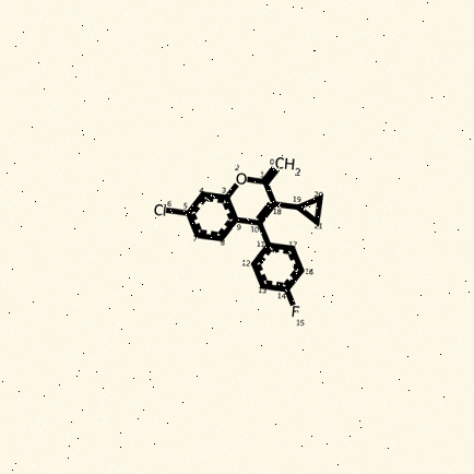 C=C1Oc2cc(Cl)ccc2C(c2ccc(F)cc2)=C1C1CC1